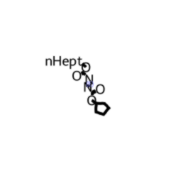 CCCCCCCOC(=O)/N=N/C(=O)OC1CCCC1